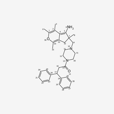 CC1=C(C)C2=C(N)C(C)(CN3CCN(C(=O)CC(c4ccccc4)c4ccccc4)CC3)CC2=C(C)O1